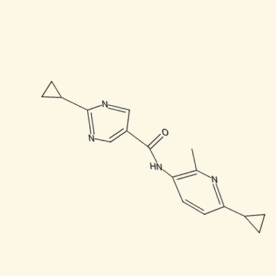 Cc1nc(C2CC2)ccc1NC(=O)c1cnc(C2CC2)nc1